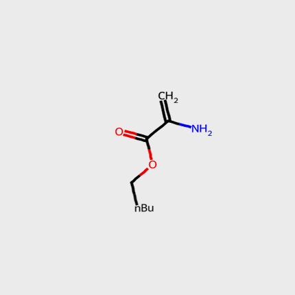 C=C(N)C(=O)OCCCCC